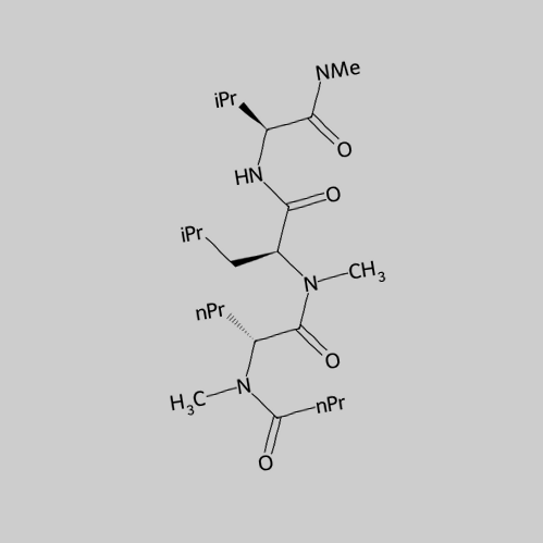 CCCC(=O)N(C)[C@H](CCC)C(=O)N(C)[C@@H](CC(C)C)C(=O)N[C@H](C(=O)NC)C(C)C